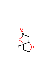 O=C1C=C2OCC[C@@H]2O1